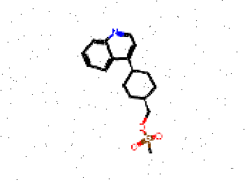 CS(=O)(=O)OC[C@H]1CC[C@@H](c2ccnc3ccccc32)CC1